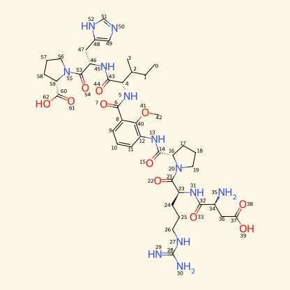 CCC(C)[C@H](NC(=O)c1cccc(NC(=O)[C@@H]2CCCN2C(=O)[C@H](CCCNC(=N)N)NC(=O)[C@@H](N)CC(=O)O)c1OC)C(=O)N[C@@H](Cc1cnc[nH]1)C(=O)N1CCC[C@H]1C(=O)O